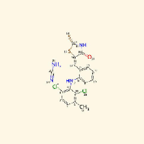 Cc1ccc(Cl)c(Nc2ccccc2C=C2SC(=S)NC2=O)c1Cl.N#CN